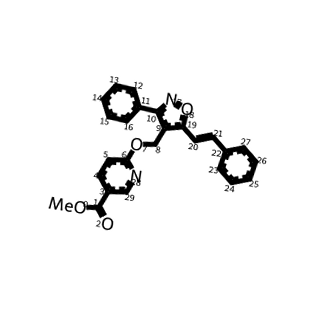 COC(=O)c1ccc(OCc2c(-c3ccccc3)noc2C=Cc2ccccc2)nc1